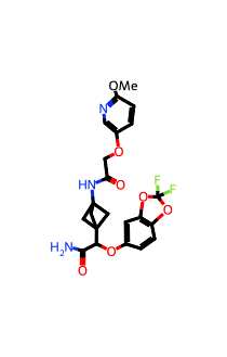 COc1ccc(OCC(=O)NC23CC(C(Oc4ccc5c(c4)OC(F)(F)O5)C(N)=O)(C2)C3)cn1